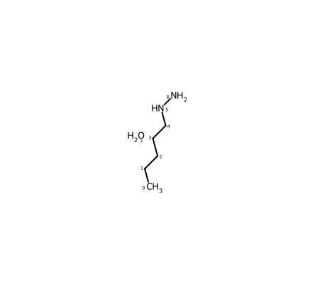 CCCCCNN.O